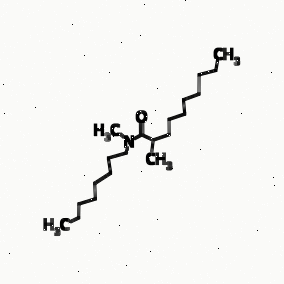 CCCCCCCCC(C)C(=O)N(C)CCCCCCCC